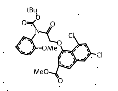 COC(=O)c1cc(OCC(=O)N(C(=O)OC(C)(C)C)c2ccccc2OC)c2c(Cl)cc(Cl)cc2c1